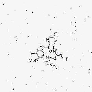 COc1c(F)cc(NC(=O)c2ccc(Cl)cn2)cc1C[C@@H](N)NO/C(N)=N\CF